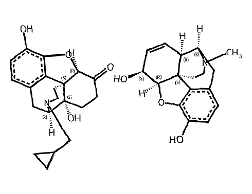 CN1CC[C@]23c4c5ccc(O)c4O[C@H]2[C@@H](O)C=C[C@H]3[C@H]1C5.O=C1CC[C@@]2(O)[C@H]3Cc4ccc(O)c5c4[C@@]2(CCN3CC2CC2)[C@H]1O5